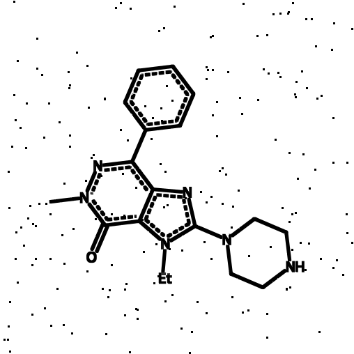 CCn1c(N2CCNCC2)nc2c(-c3ccccc3)nn(C)c(=O)c21